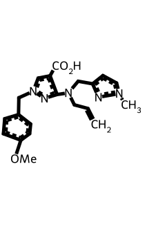 C=CCN(Cc1ccn(C)n1)c1nn(Cc2ccc(OC)cc2)cc1C(=O)O